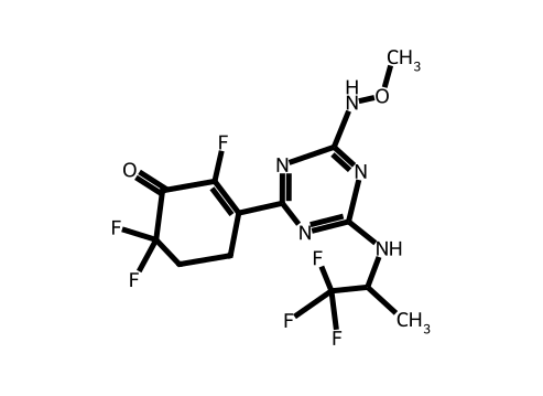 CONc1nc(NC(C)C(F)(F)F)nc(C2=C(F)C(=O)C(F)(F)CC2)n1